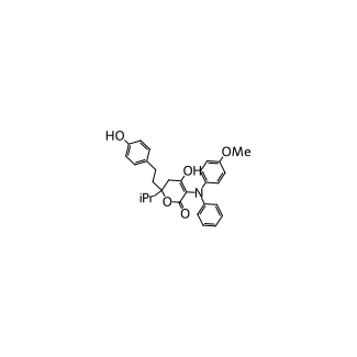 COc1ccc(N(C2=C(O)CC(CCc3ccc(O)cc3)(C(C)C)OC2=O)c2ccccc2)cc1